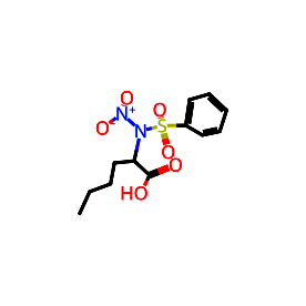 CCCCC(C(=O)O)N([N+](=O)[O-])S(=O)(=O)c1ccccc1